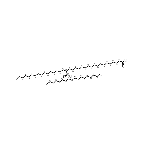 CCCCCCCCCCCCCCCCC(CCCCCCCCCCCCCCCCCC(=O)O)C(=O)O.CCCCCCCCCCCCCCCCCC